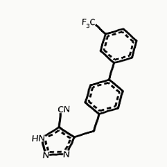 N#Cc1[nH]nnc1Cc1ccc(-c2cccc(C(F)(F)F)c2)cc1